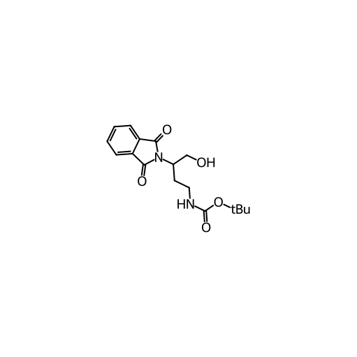 CC(C)(C)OC(=O)NCCC(CO)N1C(=O)c2ccccc2C1=O